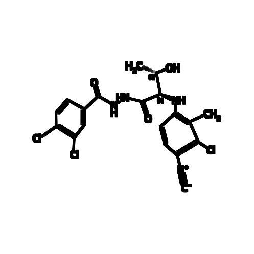 [C-]#[N+]c1ccc(N[C@@H](C(=O)NNC(=O)c2ccc(Cl)c(Cl)c2)[C@H](C)O)c(C)c1Cl